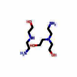 NCCN(CCO)CCO.NCCNCCO